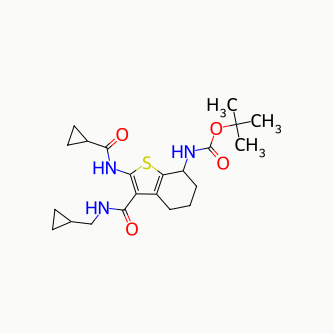 CC(C)(C)OC(=O)NC1CCCc2c1sc(NC(=O)C1CC1)c2C(=O)NCC1CC1